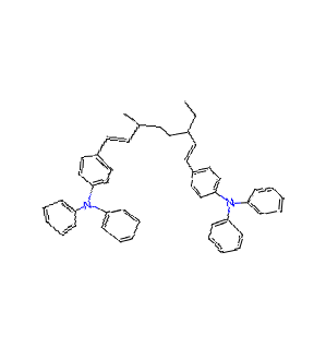 CCC(C=Cc1ccc(N(c2ccccc2)c2ccccc2)cc1)CCC(C)C=Cc1ccc(N(c2ccccc2)c2ccccc2)cc1